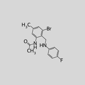 CC(=O)Nc1cc(C)cc(Br)c1CNc1ccc(F)cc1